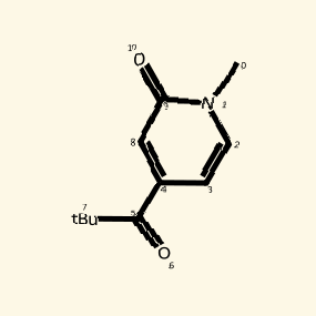 Cn1ccc(C(=O)C(C)(C)C)cc1=O